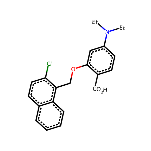 CCN(CC)c1ccc(C(=O)O)c(OCc2c(Cl)ccc3ccccc23)c1